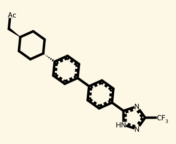 CC(=O)C[C@H]1CC[C@H](c2ccc(-c3ccc(-c4nc(C(F)(F)F)n[nH]4)cc3)cc2)CC1